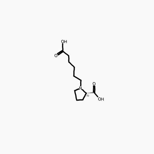 O=C(O)CCCCCN1CCC[C@H]1C(=O)O